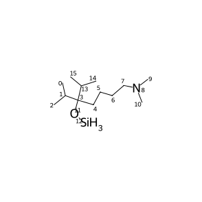 CC(C)C(CCCCN(C)C)(O[SiH3])C(C)C